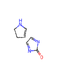 C1=CNCC1.O=C1N=CC=N1